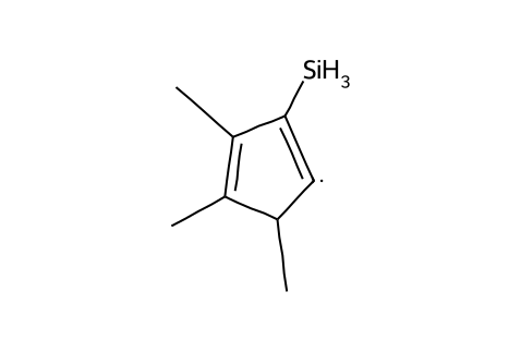 CC1=C(C)C(C)[C]=C1[SiH3]